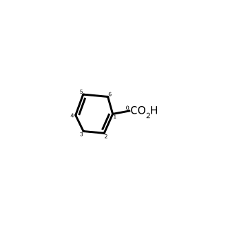 O=C(O)C1=CCC=CC1